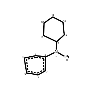 CC(C)N(c1ccccc1)C1CCCCC1